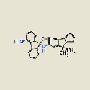 CC1(C)c2ccccc2-c2ccc(NC3(C)c4ccccc4-c4c(N)cccc43)cc21